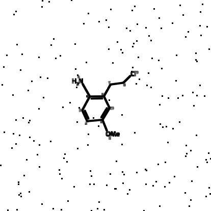 COc1ccc(N)c(CCCl)c1